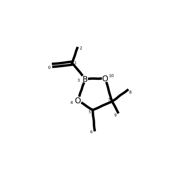 C=C(C)B1OC(C)C(C)(C)O1